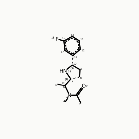 CC(=O)N(C)[C@@H](C)[C@H]1CC[C@@H](c2cccc(F)c2)N1